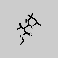 C=C(C)C(C(=O)OCC)C1NC(C)(C)CC(C)O1